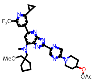 COCC1(CN(C)c2cc(-c3cc(C4CC4)nc(C(F)(F)F)c3)nc3nc(-c4cnc(N5CCC(OOC(C)=O)CC5)cn4)[nH]c23)CCCC1